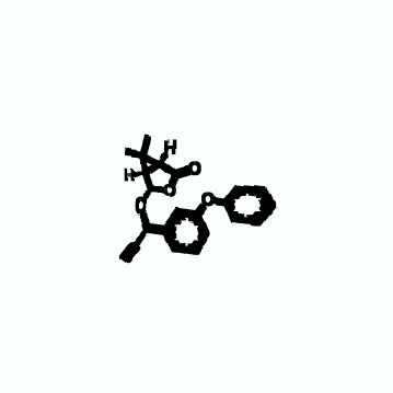 C#C[C@@H](O[C@@H]1OC(=O)[C@@H]2[C@H]1C2(C)C)c1cccc(Oc2ccccc2)c1